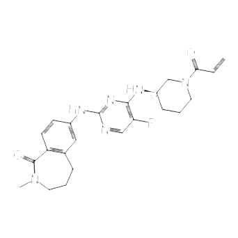 C=CC(=O)N1CCC[C@@H](Nc2nc(Nc3ccc4c(c3)CCCN(C)C4=O)ncc2F)C1